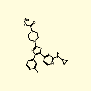 Cc1cccc(-c2nc(N3CCN(C(=O)OC(C)(C)C)CC3)sc2-c2ccnc(NC3CC3)n2)c1